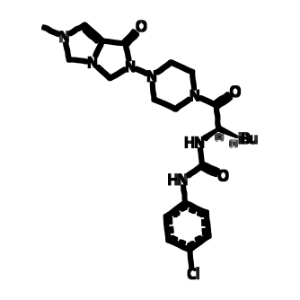 CC[C@H](C)[C@@H](NC(=O)Nc1ccc(Cl)cc1)C(=O)N1CCN(N2CN3CN(C)C=C3C2=O)CC1